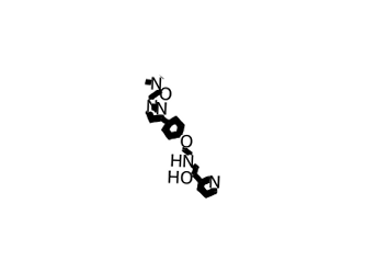 CN(C)C(=O)Cn1ccc(-c2ccc(OCCNCC(O)c3cccnc3)cc2)n1